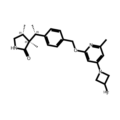 Cc1cc(N2CC([18F])C2)cc(OCc2ccc([C@@H](C)[C@@]3(C)C(=O)NC[C@@H]3C)cc2)n1